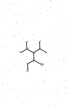 CCC(S)C(C(C)C)C(C)C